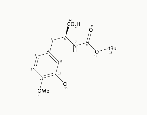 COc1ccc(C[C@H](NC(=O)OC(C)(C)C)C(=O)O)cc1Cl